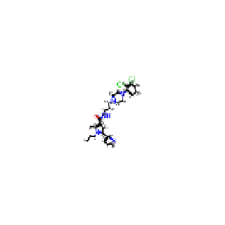 CCCn1c(-c2cccnc2)cc(C(=O)NCCCN2CCN(c3cccc(Cl)c3Cl)CC2)c1C